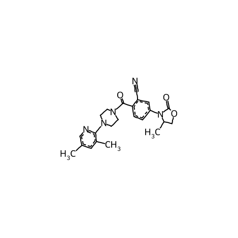 Cc1cnc(N2CCN(C(=O)c3ccc(N4C(=O)OCC4C)cc3C#N)CC2)c(C)c1